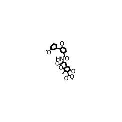 COC(=O)c1c(OC)cc2cc(NC(=O)c3ccc(OC)c(-c4cccc(OC)c4)c3)c(=O)oc2c1C